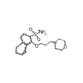 NS(=O)(=O)c1ccc2ccccc2c1OCCCN1CCOCC1